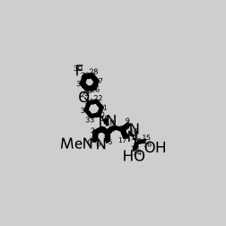 CNc1cc2c(cn1)c(-c1cnn(C(CO)CO)c1)nn2[C@H]1CC[C@@H](Oc2cccc(F)c2)CC1